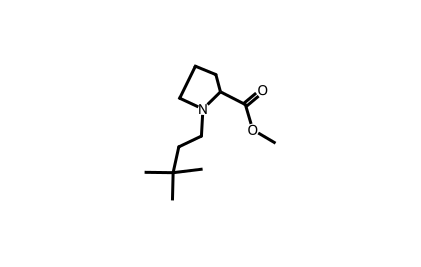 COC(=O)C1CCCN1CCC(C)(C)C